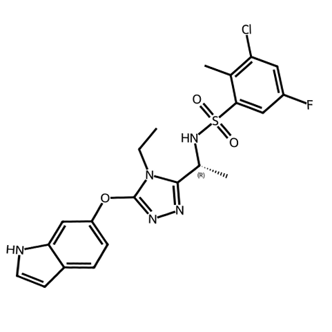 CCn1c(Oc2ccc3cc[nH]c3c2)nnc1[C@@H](C)NS(=O)(=O)c1cc(F)cc(Cl)c1C